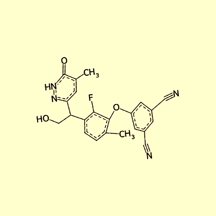 Cc1ccc(C(CO)c2cc(C)c(=O)[nH]n2)c(F)c1Oc1cc(C#N)cc(C#N)c1